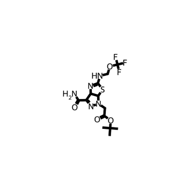 CC(C)(C)OC(=O)CN1N=C(C(N)=O)C2N=C(NCOC(F)(F)F)SC21